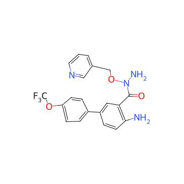 Nc1ccc(-c2ccc(OC(F)(F)F)cc2)cc1C(=O)N(N)OCc1cccnc1